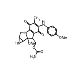 COc1ccc(NC2=C(C)C(=O)C3=C(C2=O)C(COC(N)=O)C2(OC)C4NC4CN32)cc1